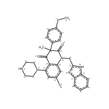 COc1ccc(C2(C)C(=O)c3c(N4CCNCC4)cc(Cl)cc3N(Cc3nc4ccccc4[nH]3)C2=O)cc1